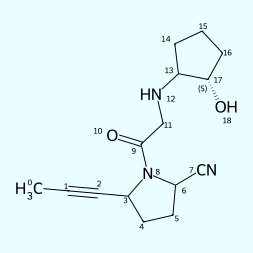 CC#CC1CCC(C#N)N1C(=O)CNC1CCC[C@@H]1O